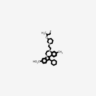 Cc1ccc2c(c1)N(CCN1CCCC(OC(C)CF)C1)CCn1c-2c(C2CCCCC2)c2ccc(C(=O)O)cc21